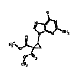 COC(=O)C1(C(=O)OC)CC1n1cnc2c(Cl)nc(N)nc21